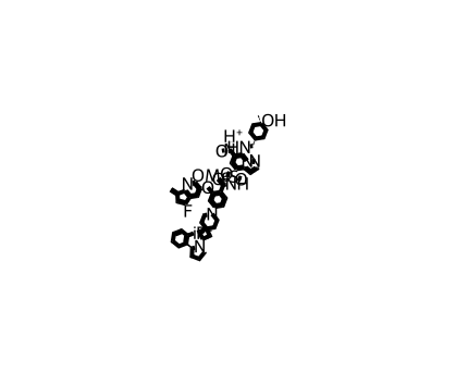 C=C1C=C(F)c2cc(Oc3cc(N4CCC5(CC4)CC(N4CCC[C@H]4C4=C(C(C)C)C=CCC4)C5)ccc3C(=O)NS(=O)(=O)c3cc([NH+](C)[O-])c(NC[C@H]4CC[C@](C)(O)CC4)n4nccc34)c(OC)nc21